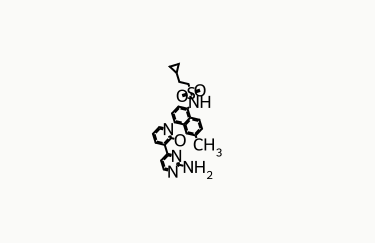 Cc1ccc2c(NS(=O)(=O)CCC3CC3)cccc2c1Oc1ncccc1-c1ccnc(N)n1